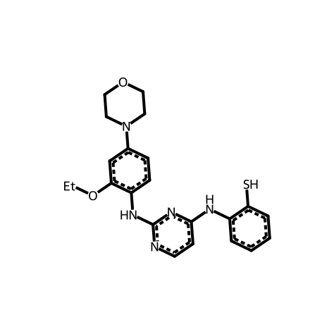 CCOc1cc(N2CCOCC2)ccc1Nc1nccc(Nc2ccccc2S)n1